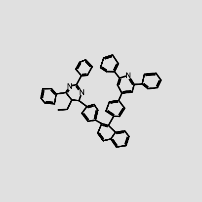 CCC1C(c2ccccc2)=NC(c2ccccc2)=NC1c1ccc(-c2ccc3ccccc3c2-c2ccc(-c3cc(-c4ccccc4)nc(-c4ccccc4)c3)cc2)cc1